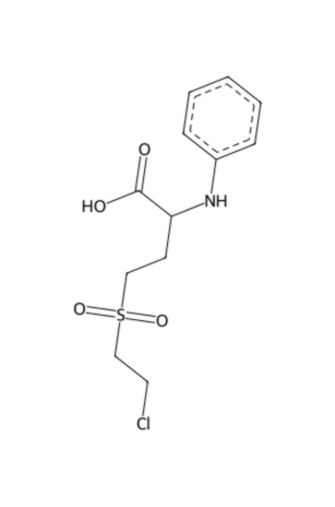 O=C(O)C(CCS(=O)(=O)CCCl)Nc1ccccc1